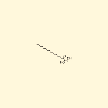 CCCCCCCCCCCCCCCC(=O)C(O)C(C)O